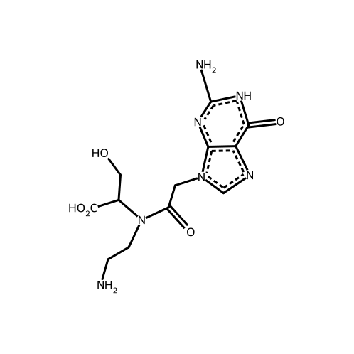 NCCN(C(=O)Cn1cnc2c(=O)[nH]c(N)nc21)C(CO)C(=O)O